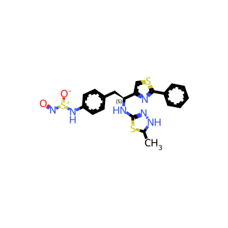 CC1NN=C(N[C@@H](Cc2ccc(N[S+]([O-])N=O)cc2)c2csc(-c3ccccc3)n2)S1